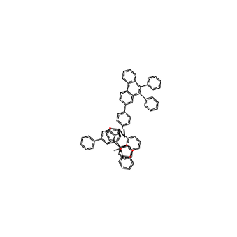 CC1(c2ccccc2)c2ccccc2-c2cccc(N(c3ccc(-c4ccc5c(c4)c(-c4ccccc4)c(-c4ccccc4)c4ccccc45)cc3)c3ccc(-c4ccccc4)cc3-c3ccccc3)c21